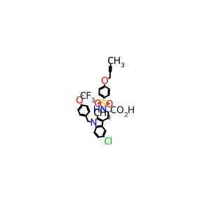 CC#CCOc1ccc(S(=O)(=O)N[C@@H](Cc2c(C)n(Cc3ccc(OC(F)(F)F)cc3)c3ccc(Cl)cc23)C(=O)O)cc1